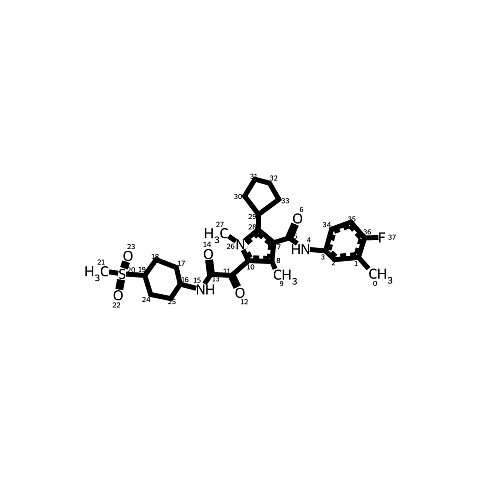 Cc1cc(NC(=O)c2c(C)c(C(=O)C(=O)NC3CCC(S(C)(=O)=O)CC3)n(C)c2C2CCCC2)ccc1F